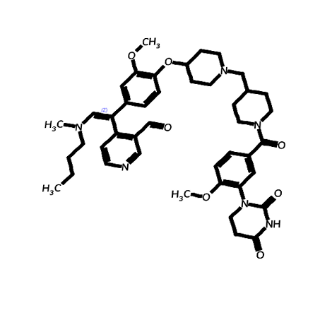 CCCCN(C)/C=C(/c1ccc(OC2CCN(CC3CCN(C(=O)c4ccc(OC)c(N5CCC(=O)NC5=O)c4)CC3)CC2)c(OC)c1)c1ccncc1C=O